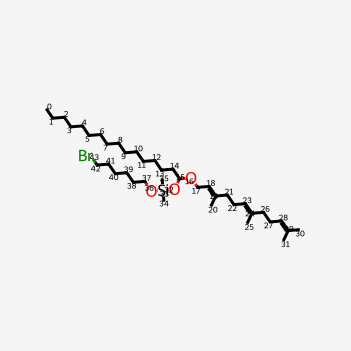 CCCCCCCCCCCCCCCC(OC/C=C(\C)CC/C=C(\C)CCC=C(C)C)O[Si](C)(C)OCCCCCCBr